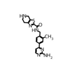 Cc1cc(-c2ccnc(N)n2)ccc1CNC(=O)c1nc2c(s1)CNCC2